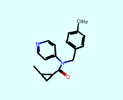 COc1ccc(CN(C(=O)C2CC2C)c2ccncc2)cc1